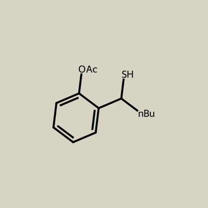 CCCCC(S)c1ccccc1OC(C)=O